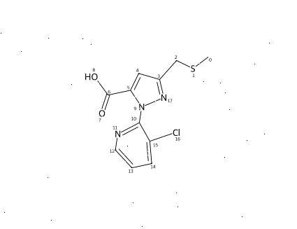 CSCc1cc(C(=O)O)n(-c2ncccc2Cl)n1